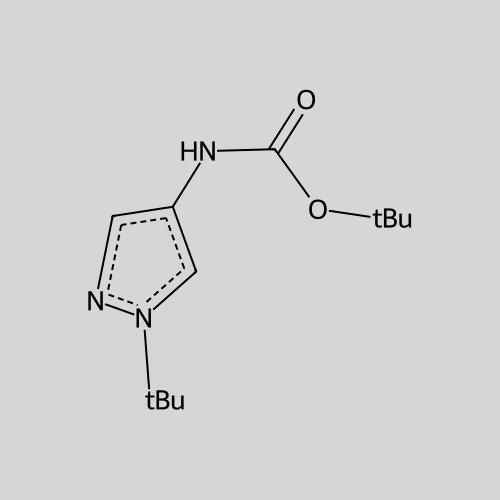 CC(C)(C)OC(=O)Nc1cnn(C(C)(C)C)c1